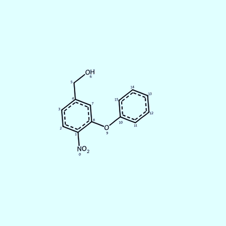 O=[N+]([O-])c1ccc(CO)cc1Oc1ccccc1